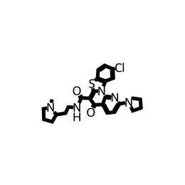 CN1CCCC1CCNC(=O)c1c(=O)c2ccc(N3CCCC3)nc2n2c1sc1ccc(Cl)cc12